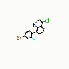 Fc1cc(Br)ccc1-c1cccc2c(Cl)ccnc12